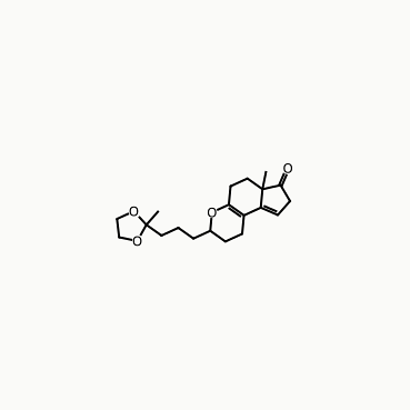 CC1(CCCC2CCC3=C(CCC4(C)C(=O)CC=C34)O2)OCCO1